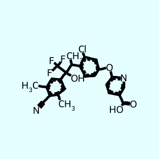 Cc1cc(C(O)(C(C)c2ccc(Oc3ccc(C(=O)O)cn3)cc2Cl)C(F)(F)F)cc(C)c1C#N